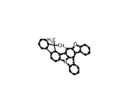 CC1(C)c2ccccc2-c2ccc3c(c21)c1cc2oc4ccccc4c2c2c4ccccc4n3c12